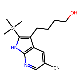 C[Si](C)(C)c1[nH]c2ncc(C#N)cc2c1CCCCO